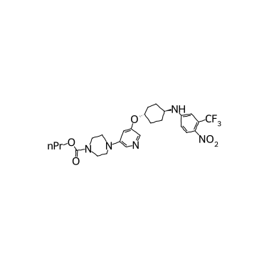 CCCOC(=O)N1CCN(c2cncc(O[C@H]3CC[C@H](Nc4ccc([N+](=O)[O-])c(C(F)(F)F)c4)CC3)c2)CC1